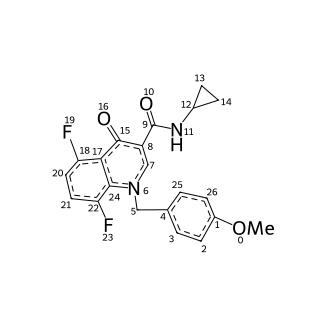 COc1ccc(Cn2cc(C(=O)NC3CC3)c(=O)c3c(F)ccc(F)c32)cc1